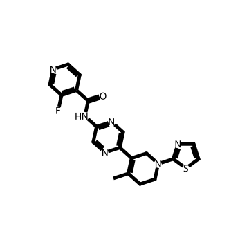 CC1=C(c2cnc(NC(=O)c3ccncc3F)cn2)CN(c2nccs2)CC1